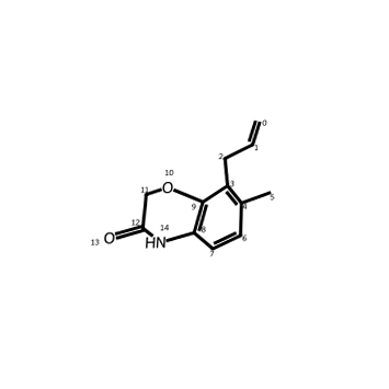 C=CCc1c(C)ccc2c1OCC(=O)N2